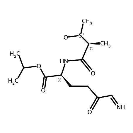 CC(C)OC(=O)[C@H](CCC(=O)C=N)NC(=O)[C@H](C)[S+](C)[O-]